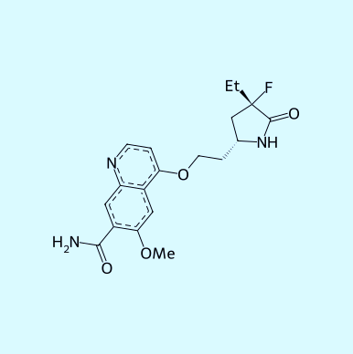 CC[C@]1(F)C[C@@H](CCOc2ccnc3cc(C(N)=O)c(OC)cc23)NC1=O